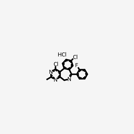 Cc1nc(Cl)c2c(n1)CN=C(c1ccccc1F)c1cc(Cl)ccc1-2.Cl